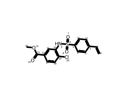 C=Cc1ccc(S(=O)(=O)Nc2cc(C(=O)OC)ccc2Cl)cc1